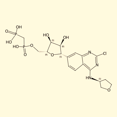 O=P(O)(O)CP(=O)(O)OC[C@H]1O[C@@H](c2ccc3c(N[C@H]4CCOC4)nc(Cl)nc3c2)[C@H](O)[C@@H]1O